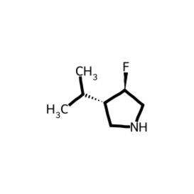 CC(C)[C@H]1CNC[C@@H]1F